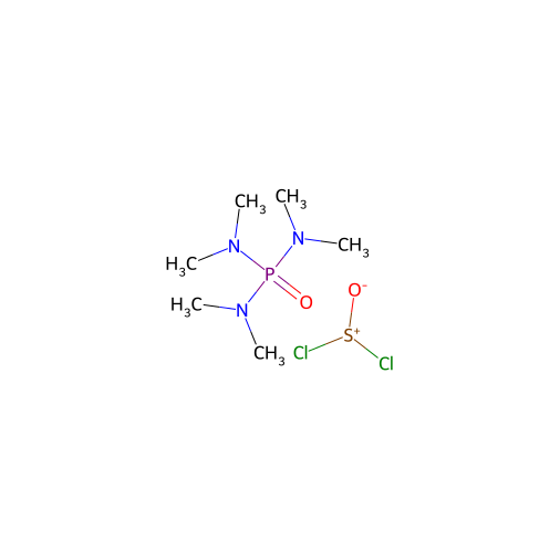 CN(C)P(=O)(N(C)C)N(C)C.[O-][S+](Cl)Cl